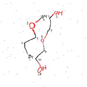 CC(C)CCOC(C)C.OCCOCCO